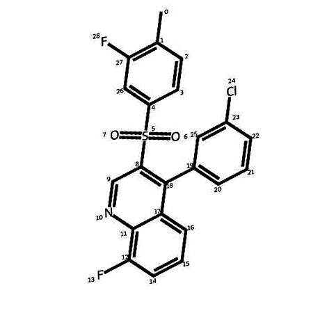 Cc1ccc(S(=O)(=O)c2cnc3c(F)cccc3c2-c2cccc(Cl)c2)cc1F